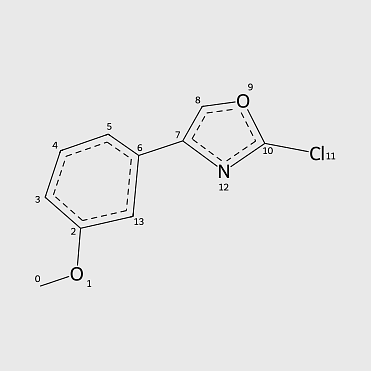 COc1cccc(-c2coc(Cl)n2)c1